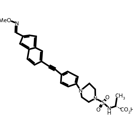 CON=Cc1ccc2cc(C#Cc3ccc(N4CCN(S(=O)(=O)N[C@H](C)C(=O)O)CC4)cc3)ccc2c1